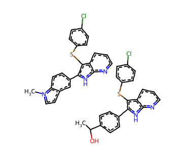 CC(O)c1ccc(-c2[nH]c3ncccc3c2Sc2ccc(Cl)cc2)cc1.Cn1ccc2cc(-c3[nH]c4ncccc4c3Sc3ccc(Cl)cc3)ccc21